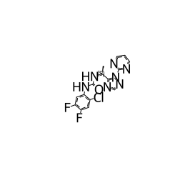 C[C@H](NC(=O)Nc1cc(F)c(F)cc1Cl)c1ncnn1-c1ncccn1